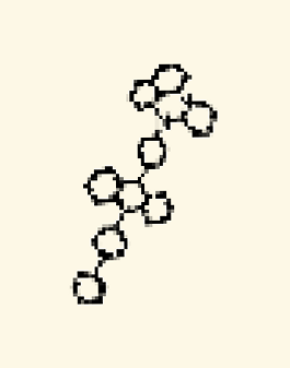 c1ccc(-c2ccc(-c3c4ccccc4c(-c4ccc(N(c5ccccn5)c5cccc6ccccc56)cc4)c4ccccc34)cc2)cc1